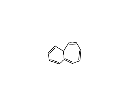 [C]1=CC=CC2C=CC=CC=C12